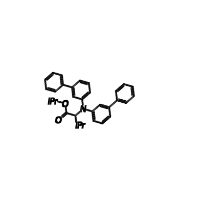 CC(C)OC(=O)C(C(C)C)N(c1cccc(-c2ccccc2)c1)c1cccc(-c2ccccc2)c1